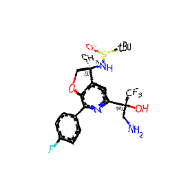 CC(C)(C)[S+]([O-])N[C@]1(C)COc2c1cc([C@](O)(CN)C(F)(F)F)nc2-c1ccc(F)cc1